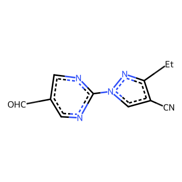 CCc1nn(-c2ncc(C=O)cn2)cc1C#N